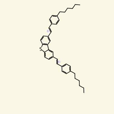 CCCCCCc1ccc(/C=C/c2ccc3sc4ccc(/C=C/c5ccc(CCCCCC)cc5)cc4c3c2)cc1